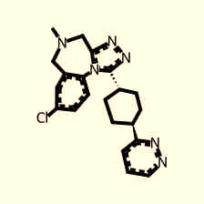 CN1Cc2cc(Cl)ccc2-n2c(nnc2[C@H]2CC[C@H](c3cccnn3)CC2)C1